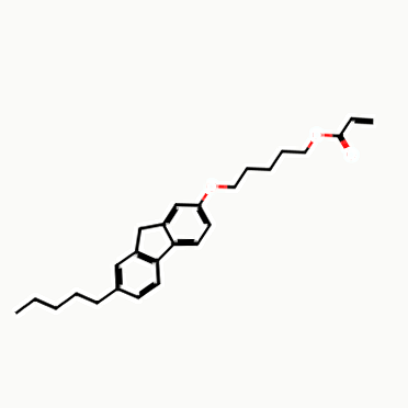 C=CC(=O)OCCCCCOc1ccc2c(c1)Cc1cc(CCCCC)ccc1-2